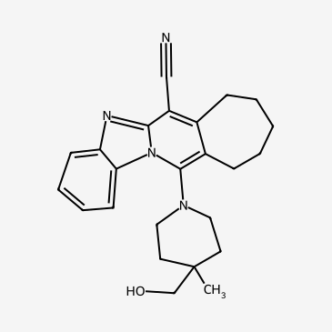 CC1(CO)CCN(c2c3c(c(C#N)c4nc5ccccc5n24)CCCCC3)CC1